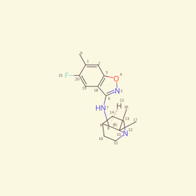 Cc1cc2onc(N[C@@H]3C4CCN(CC4)C3(C)C)c2cc1F